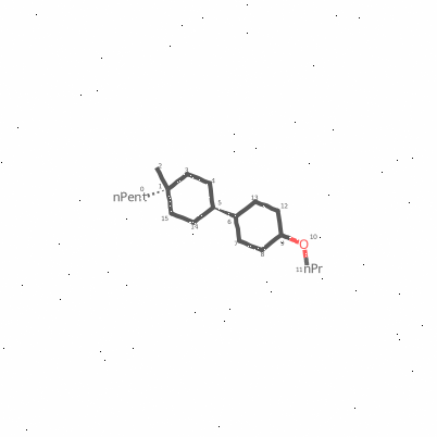 CCCCC[C@]1(C)CC[C@@H](C2CCC(OCCC)CC2)CC1